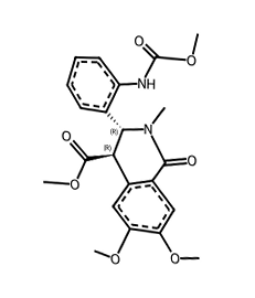 COC(=O)Nc1ccccc1[C@H]1[C@H](C(=O)OC)c2cc(OC)c(OC)cc2C(=O)N1C